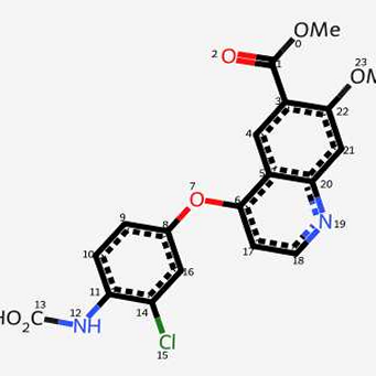 COC(=O)c1cc2c(Oc3ccc(NC(=O)O)c(Cl)c3)ccnc2cc1OC